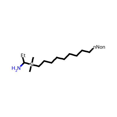 CCCCCCCCCCCCCCCCCC[Si](C)(C)C(N)CC